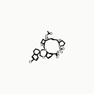 CC(=O)O[C@H]1/C=C/C[C@H]2CCCN2S(=O)(=O)NC(=O)c2ccc3c(c2)N(C[C@@H]2CC[C@H]21)C[C@@]1(CCCc2cc(Cl)ccc21)CO3